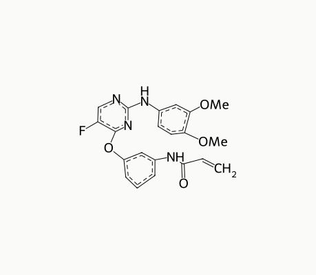 C=CC(=O)Nc1cccc(Oc2nc(Nc3ccc(OC)c(OC)c3)ncc2F)c1